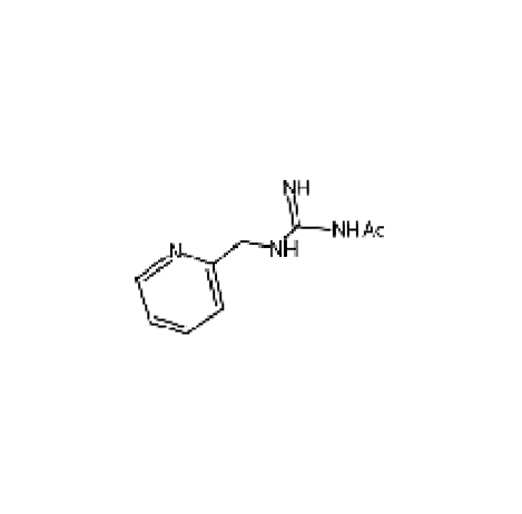 CC(=O)NC(=N)NCc1ccccn1